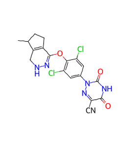 CC1CCC2=C1CNN=C2Oc1c(Cl)cc(-n2nc(C#N)c(=O)[nH]c2=O)cc1Cl